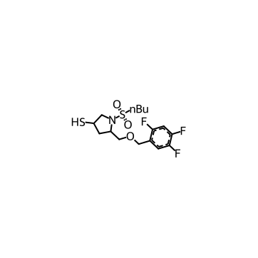 CCCCS(=O)(=O)N1CC(S)CC1COCc1cc(F)c(F)cc1F